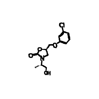 C[C@@H](CO)N1C[C@H](COc2cccc(Cl)c2)OC1=O